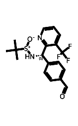 CC(C)(C)[S+]([O-])N[C@@H](c1ccc(C=O)cc1)c1ncccc1C(F)(F)F